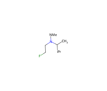 CNN(CCF)C(C)C(C)C